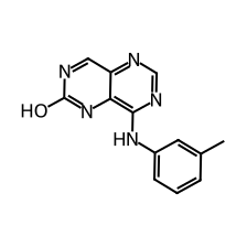 Cc1cccc(Nc2ncnc3cnc(O)nc23)c1